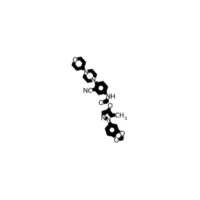 Cc1c(OC(=O)Nc2ccc(N3CCN(C4CCOCC4)CC3)c(C#N)c2)cnn1-c1ccc2c(c1)OCO2